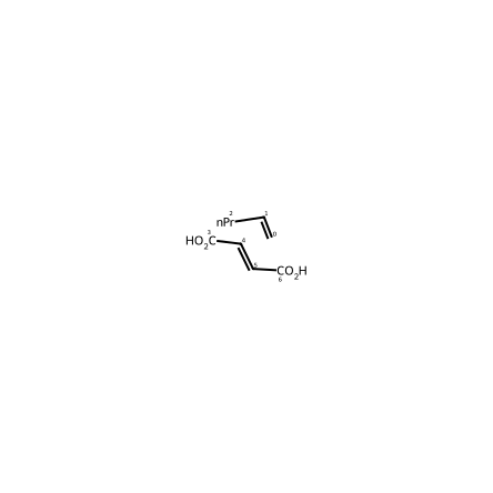 C=CCCC.O=C(O)C=CC(=O)O